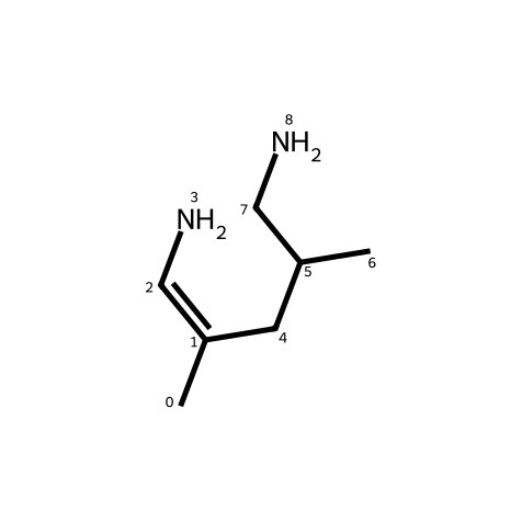 CC(=CN)CC(C)CN